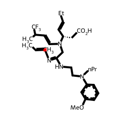 C/C=C(C)/N=C(\CN(/C=C/C(C)C(F)(F)F)[C@H](/C=C/CC)CC(=O)O)NCCN(CCC)c1cccc(OC)c1